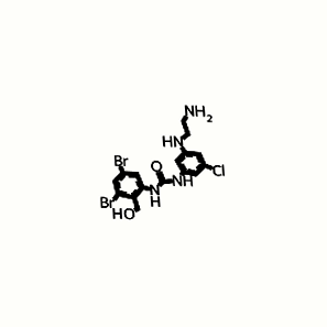 NCCNc1cc(Cl)cc(NC(=O)Nc2cc(Br)cc(Br)c2CO)c1